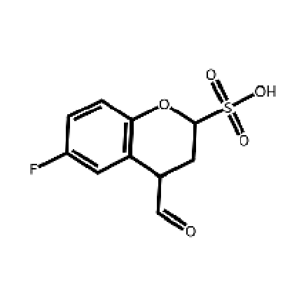 O=CC1CC(S(=O)(=O)O)Oc2ccc(F)cc21